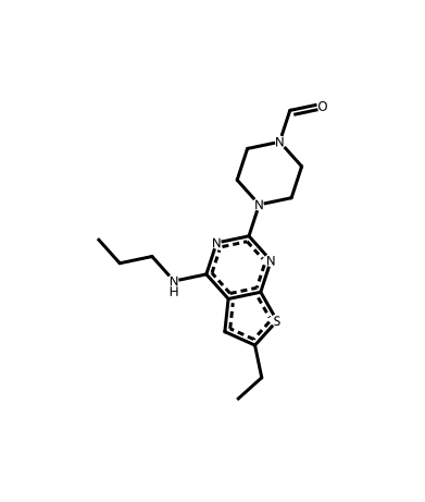 CCCNc1nc(N2CCN(C=O)CC2)nc2sc(CC)cc12